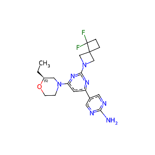 CC[C@H]1CN(c2cc(-c3cnc(N)nc3)nc(N3CC4(CCC4(F)F)C3)n2)CCO1